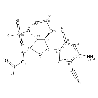 CC(=O)OC[C@H]1O[C@@H](n2cc(C#N)c(N)nc2=O)[C@H](OC(C)=O)[C@H]1OS(C)(=O)=O